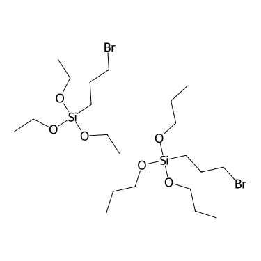 CCCO[Si](CCCBr)(OCCC)OCCC.CCO[Si](CCCBr)(OCC)OCC